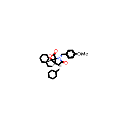 COc1ccc(CN2C(=O)[C@H](CC3CCCCC3)[C@]3(CCC4CCCCC4)C24C(=O)O[C@]43C)cc1